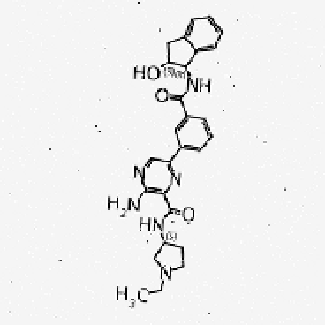 CCN1CC[C@H](NC(=O)c2nc(-c3cccc(C(=O)N[C@@H]4c5ccccc5C[C@@H]4O)c3)cnc2N)C1